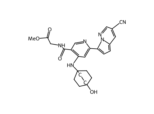 COC(=O)CNC(=O)c1cnc(-c2ccc3cc(C#N)cnn23)cc1NC12CCC(O)(CC1)CC2